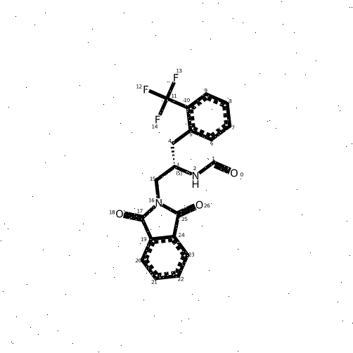 O=CN[C@@H](Cc1ccccc1C(F)(F)F)CN1C(=O)c2ccccc2C1=O